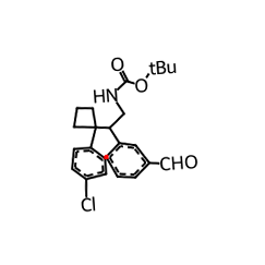 CC(C)(C)OC(=O)NCC(c1cccc(C=O)c1)C1(c2ccc(Cl)cc2)CCC1